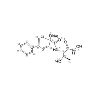 COC1(C(=O)N[C@H](C(=O)NO)[C@@H](C)O)C=CC(c2ccccc2)=CC1